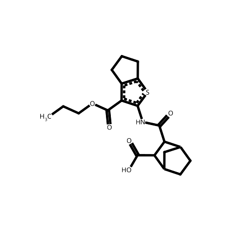 CCCOC(=O)c1c(NC(=O)C2C3CCC(C3)C2C(=O)O)sc2c1CCC2